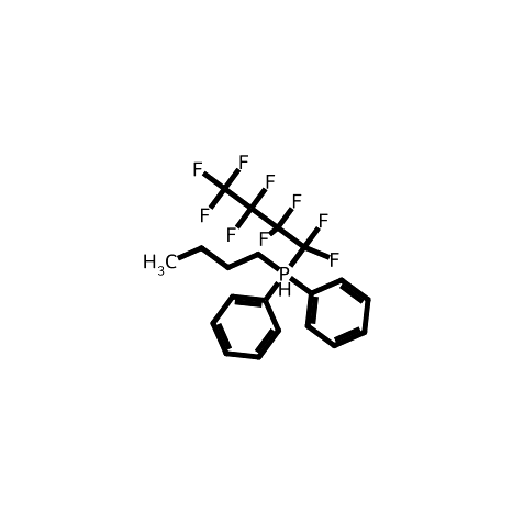 CCCC[PH](c1ccccc1)(c1ccccc1)C(F)(F)C(F)(F)C(F)(F)C(F)(F)F